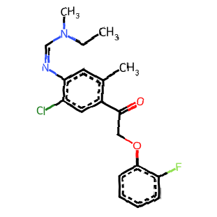 CCN(C)/C=N\c1cc(C)c(C(=O)COc2ccccc2F)cc1Cl